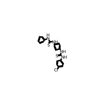 S=C(Nc1ccccc1)Nc1ccc(NC(=S)Nc2ccc(Cl)cc2)cc1